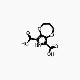 O=C(O)c1[nH]c(C(=O)O)c2c1OCCCO2